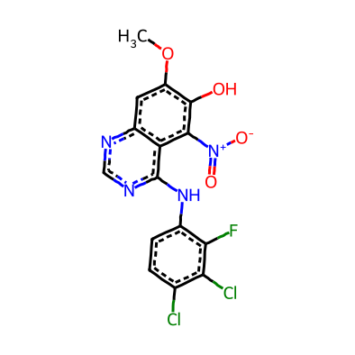 COc1cc2ncnc(Nc3ccc(Cl)c(Cl)c3F)c2c([N+](=O)[O-])c1O